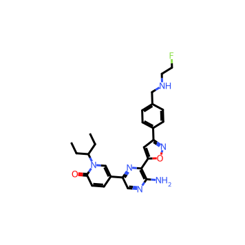 CCC(CC)n1cc(-c2cnc(N)c(-c3cc(-c4ccc(CNCCF)cc4)no3)n2)ccc1=O